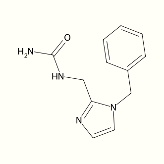 NC(=O)NCc1nccn1Cc1ccccc1